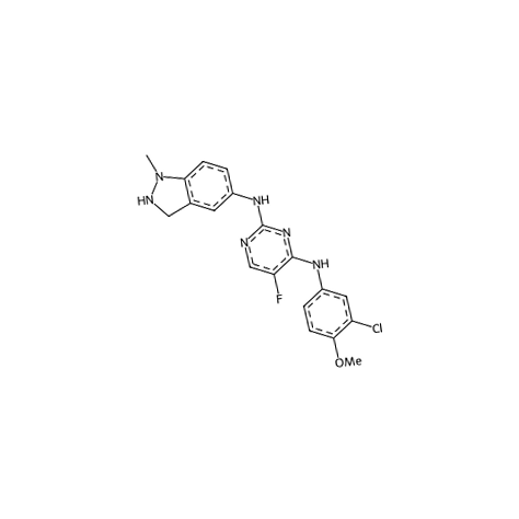 COc1ccc(Nc2nc(Nc3ccc4c(c3)CNN4C)ncc2F)cc1Cl